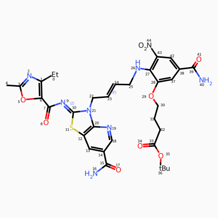 CCc1nc(C)oc1C(=O)/N=c1\sc2cc(C(N)=O)cnc2n1C/C=C/CNc1c(OCCCC(=O)OC(C)(C)C)cc(C(N)=O)cc1[N+](=O)[O-]